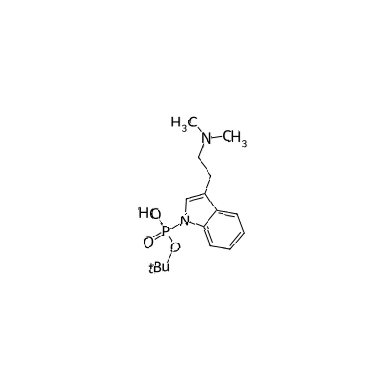 CN(C)CCc1cn(P(=O)(O)OC(C)(C)C)c2ccccc12